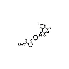 COC(=O)C1CCCN1Cc1ccc(N/C=C2\C(=O)NC(=O)c3ccc(I)cc32)cc1